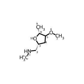 CNC[C@H]1CC(OC)[C@@H](C)O1